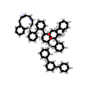 C1=C\Cc2ccccc2N(c2ccccc2-c2ccccc2-c2ccc(N(c3cccc(-c4cccc(-c5ccccc5)c4)c3)c3ccccc3-c3cccc4c3oc3ccccc34)cc2)C\C=C/1